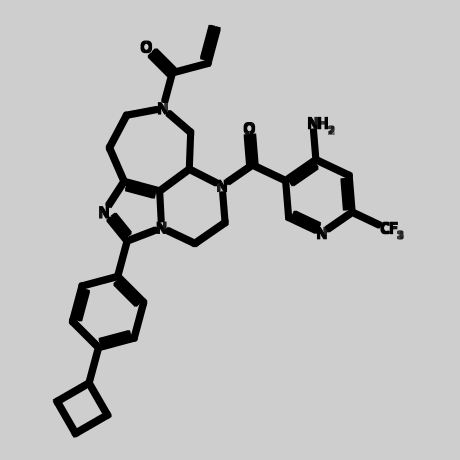 C=CC(=O)N1CCc2nc(-c3ccc(C4CCC4)cc3)n3c2C(C1)N(C(=O)c1cnc(C(F)(F)F)cc1N)CC3